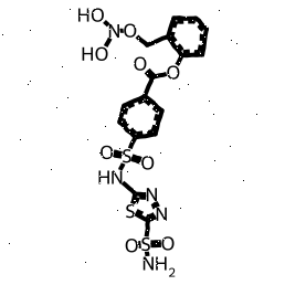 NS(=O)(=O)c1nnc(NS(=O)(=O)c2ccc(C(=O)Oc3ccccc3CON(O)O)cc2)s1